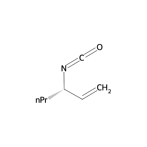 C=C[C@H](CCC)N=C=O